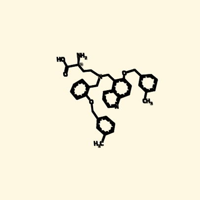 Cc1cccc(COc2ccccc2CN(CC[C@H](N)C(=O)O)Cc2c(OCc3cccc(C)c3)ccc3ncccc23)c1